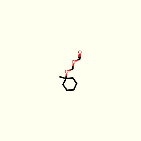 CC1(OCO[C]=O)CCCCC1